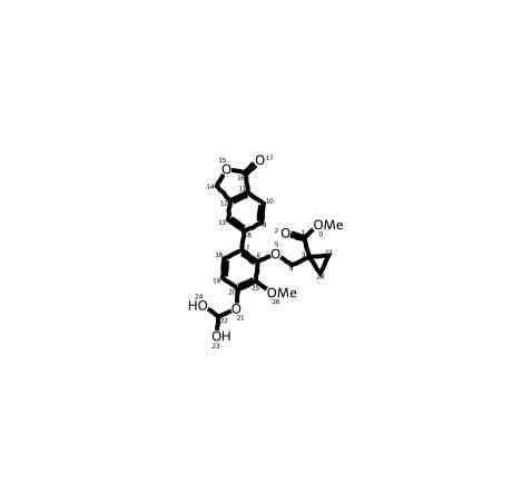 COC(=O)C1(COc2c(-c3ccc4c(c3)COC4=O)ccc(OC(O)O)c2OC)CC1